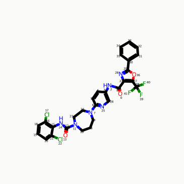 O=C(Nc1ccc(N2CCCN(C(=O)Nc3c(Cl)cccc3Cl)CC2)nc1)c1nc(-c2ccccc2)oc1C(F)(F)F